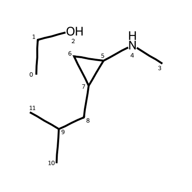 CCO.CNC1CC1CC(C)C